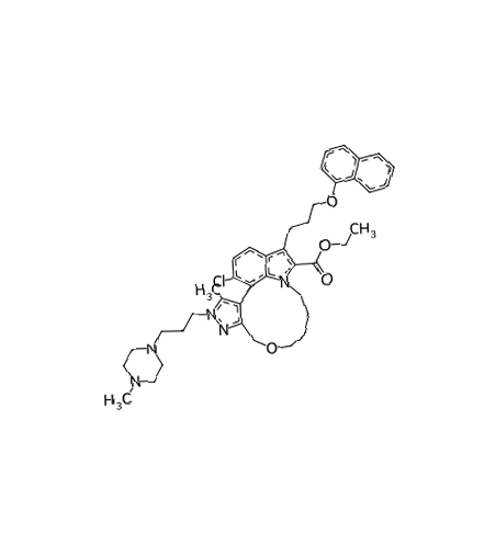 CCOC(=O)c1c(CCCOc2cccc3ccccc23)c2ccc(Cl)c3c2n1CCCCOCc1nn(CCCN2CCN(C)CC2)c(C)c1-3